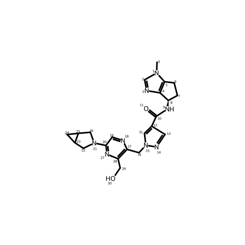 Cn1cnc2c1CC[C@H]2NC(=O)c1cnn(Cc2ncc(N3CC4CC4C3)nc2CO)c1